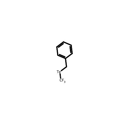 FC(F)(F)[Te]Cc1ccccc1